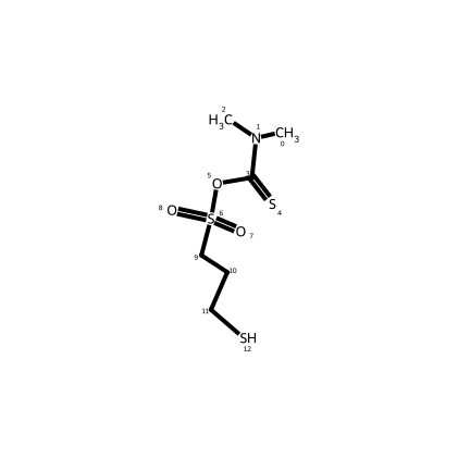 CN(C)C(=S)OS(=O)(=O)CCCS